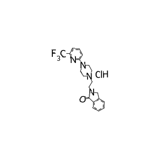 Cl.O=C1c2ccccc2CN1CCN1CCN(c2cccc(C(F)(F)F)n2)CC1